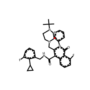 CC(C)(C)N1CCN(Cc2c(C(=O)NCc3cccc(F)c3C3CC3)c3cccc(F)c3c(=O)n2-c2cccnc2)CC1